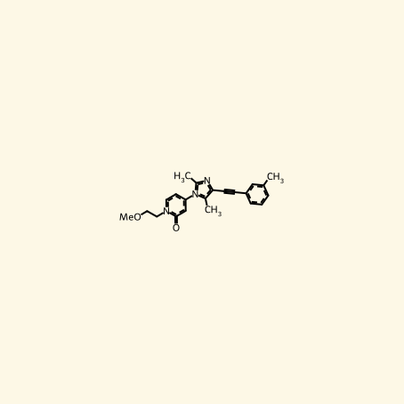 COCCn1ccc(-n2c(C)nc(C#Cc3cccc(C)c3)c2C)cc1=O